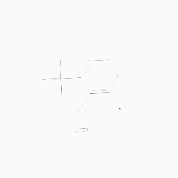 Cc1cc(C(C)(C)C)c(O)c(C(C)(C)C)c1.O=S=O